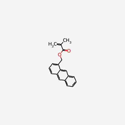 C=C(C)C(=O)OCc1cccc2cc3ccccc3cc12